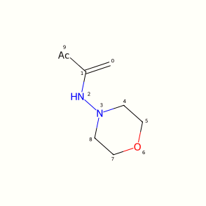 C=C(NN1CCOCC1)C(C)=O